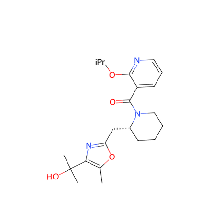 Cc1oc(C[C@H]2CCCCN2C(=O)c2cccnc2OC(C)C)nc1C(C)(C)O